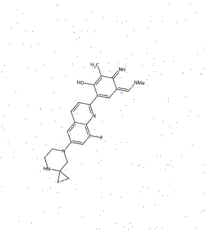 CN/C=C1/C=C(c2ccc3cc(N4CCNC5(CC5)C4)cc(F)c3n2)C(O)=C(C)C1=N